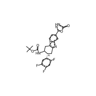 CC(C)(C)OC(=O)NC1Cc2c(nc3cc(-c4n[nH]c(=O)o4)ccn23)C[C@@H]1c1cc(F)c(F)cc1F